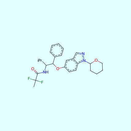 CC(C)C(NC(=O)C(C)(F)F)C(Oc1ccc2c(cnn2C2CCCCO2)c1)c1ccccc1